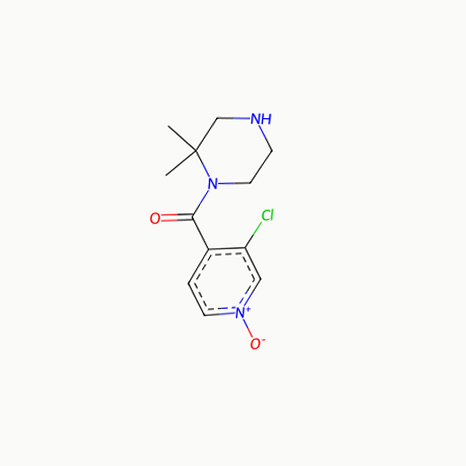 CC1(C)CNCCN1C(=O)c1cc[n+]([O-])cc1Cl